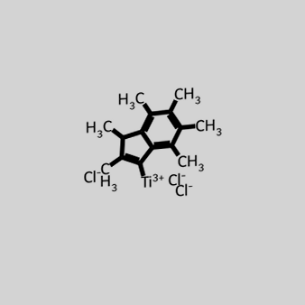 CC1=[C]([Ti+3])c2c(C)c(C)c(C)c(C)c2C1C.[Cl-].[Cl-].[Cl-]